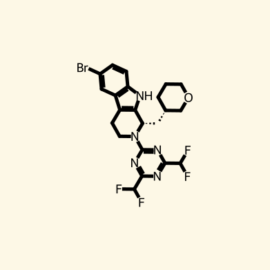 FC(F)c1nc(C(F)F)nc(N2CCc3c([nH]c4ccc(Br)cc34)[C@@H]2C[C@@H]2CCCOC2)n1